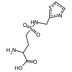 NC(CCS(=O)(=O)NCc1nccs1)C(=O)O